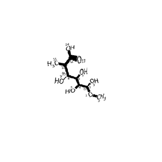 CO[C@H](O)C(O)C(O)[C@H](O)C(C)C(=O)O